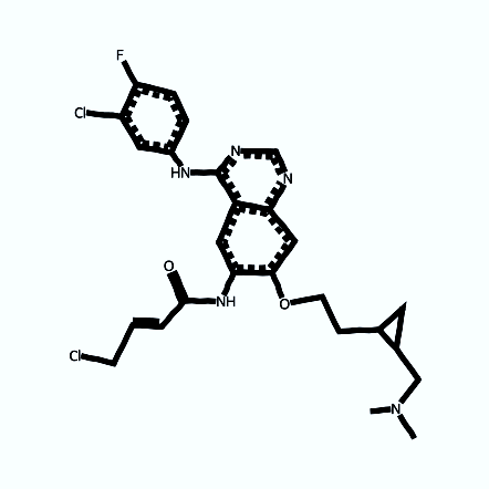 CN(C)CC1CC1CCOc1cc2ncnc(Nc3ccc(F)c(Cl)c3)c2cc1NC(=O)/C=C/CCl